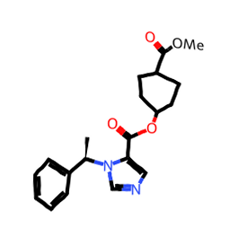 COC(=O)C1CCC(OC(=O)c2cncn2[C@H](C)c2ccccc2)CC1